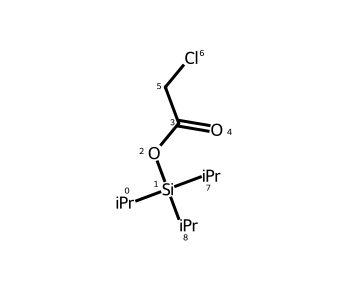 CC(C)[Si](OC(=O)CCl)(C(C)C)C(C)C